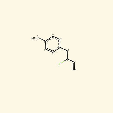 C=CC(F)Cc1ccc(S(=O)(=O)O)cc1